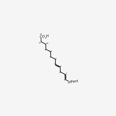 CCCCCC=CCC=CCCCCCCC(=O)O